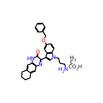 CC(=O)O.NCCCn1cc(-c2nc3cc4c(cc3[nH]c2=O)CCCC4)c2cc(OCc3ccccc3)ccc21